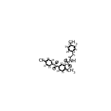 Cc1ccc(CCNS(=O)(=O)c2cc(S(=O)(=O)c3ccc(Cl)cc3)ccc2C)cc1